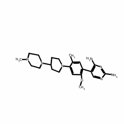 COc1cc(N2CCC(N3CCN(C)CC3)CC2)c(C)cc1-c1cnc(N)nc1N